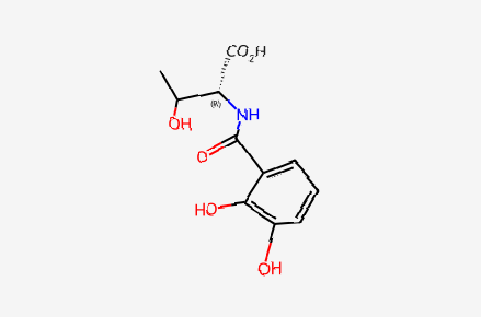 CC(O)[C@@H](NC(=O)c1cccc(O)c1O)C(=O)O